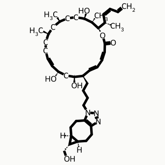 C=C/C=C\[C@H](C)[C@@H]1OC(=O)/C=C\C=C\[C@@H](CCCCn2nnc3c2CC[C@@H]2[C@@H](CO)[C@@H]2CC3)[C@@H](O)C[C@H](O)/C=C\CC[C@@H](C)C[C@@H](C)CC[C@@H](O)[C@@H]1C